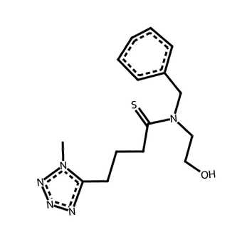 Cn1nnnc1CCCC(=S)N(CCO)Cc1ccccc1